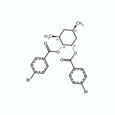 C[C@H]1C[C@H](OC(=O)c2ccc(Br)cc2)[C@H](OC(=O)c2ccc(Br)cc2)[C@@H](C)C1